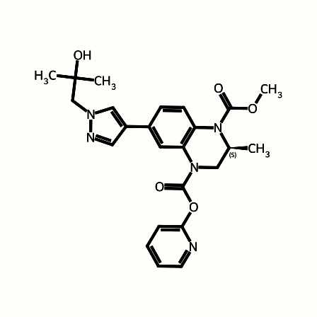 COC(=O)N1c2ccc(-c3cnn(CC(C)(C)O)c3)cc2N(C(=O)Oc2ccccn2)C[C@@H]1C